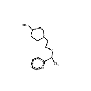 COC1CCN(CCOC(C)c2ccccn2)CC1